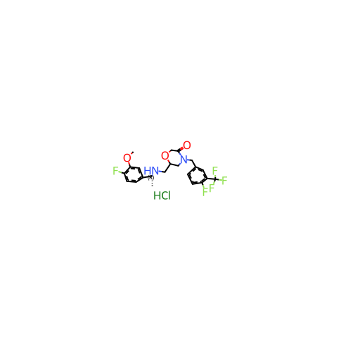 COc1cc([C@@H](C)NCC2CN(Cc3ccc(F)c(C(F)(F)F)c3)C(=O)CO2)ccc1F.Cl